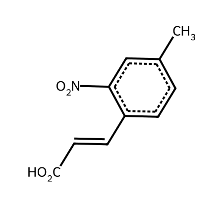 Cc1ccc(C=CC(=O)O)c([N+](=O)[O-])c1